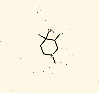 CC1CN(C)CCC1(C)N